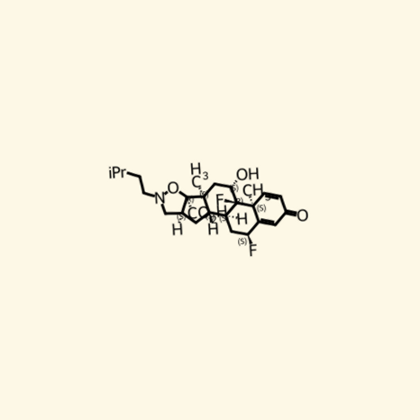 CC(C)CCN1C[C@@H]2C[C@H]3[C@@H]4C[C@H](F)C5=CC(=O)C=C[C@]5(C)[C@@]4(F)[C@@H](O)C[C@]3(C)[C@]2(C(=O)O)O1